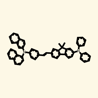 CC1(C)c2cc(/C=C/c3ccc(N(c4ccc5ccccc5c4)c4cccc5ccccc45)cc3)ccc2-c2ccc(N(c3ccccc3)c3ccccc3)cc21